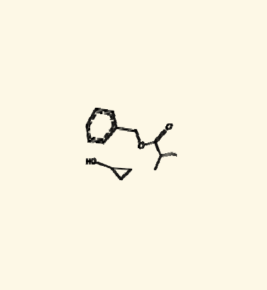 CC(C)C(=O)OCc1ccccc1.OC1CC1